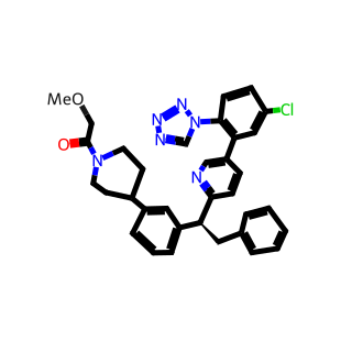 COCC(=O)N1CCC(c2cccc([C@H](Cc3ccccc3)c3ccc(-c4cc(Cl)ccc4-n4cnnn4)cn3)c2)CC1